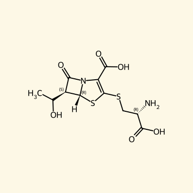 CC(O)[C@H]1C(=O)N2C(C(=O)O)=C(SC[C@H](N)C(=O)O)S[C@H]12